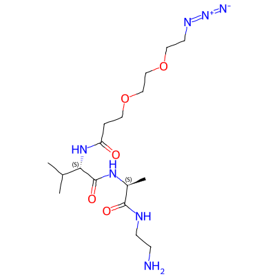 CC(C)[C@H](NC(=O)CCOCCOCCN=[N+]=[N-])C(=O)N[C@@H](C)C(=O)NCCN